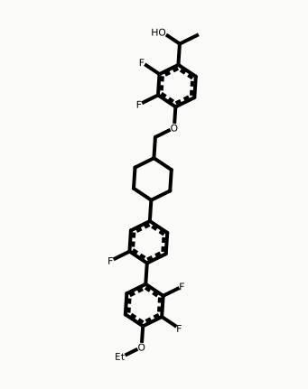 CCOc1ccc(-c2ccc(C3CCC(COc4ccc(C(C)O)c(F)c4F)CC3)cc2F)c(F)c1F